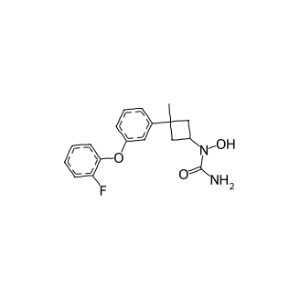 CC1(c2cccc(Oc3ccccc3F)c2)CC(N(O)C(N)=O)C1